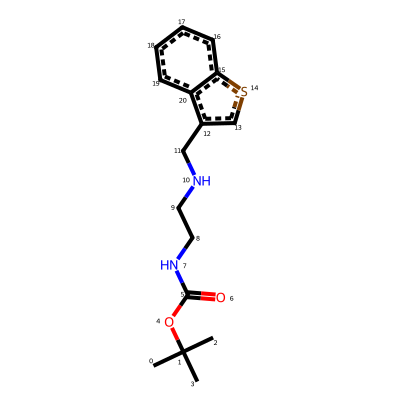 CC(C)(C)OC(=O)NCCNCc1csc2ccccc12